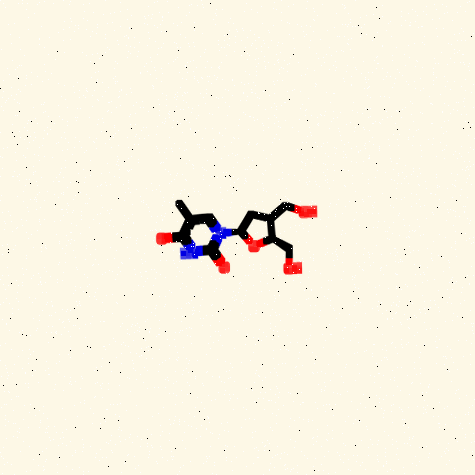 Cc1cn([C@H]2CC(CO)[C@@H](CO)O2)c(=O)[nH]c1=O